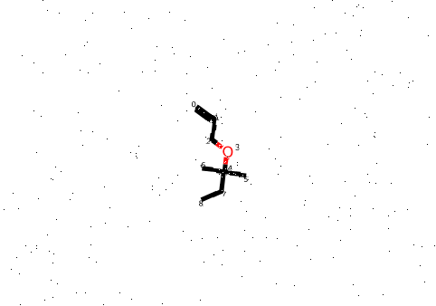 C=CCOC(C)(C)CC